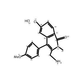 COc1ccc(-c2c(CN)n(C)c(=O)c3ccc(Cl)cc23)cc1.Cl